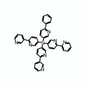 c1ccc(-c2ccc([Si](c3ccc(-c4cccnc4)nc3)(c3ccc(-c4cccnc4)nc3)c3ccc(-c4ccccn4)nc3)cn2)cc1